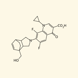 O=C(O)c1cn(C2CC2)c2c(F)c(N3CC4C5C=CC(CO)(CC5)C4C3)c(F)cc2c1=O